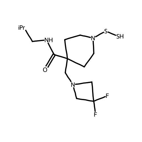 CC(C)CNC(=O)C1(CN2CC(F)(F)C2)CCN(SS)CC1